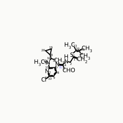 C=C(CN/C(C=O)=N/c1ccc(Cl)nc1N(C)C(C)C1CC1)SC(C)=C(C)C